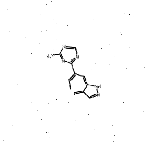 C=c1cn[nH]/c1=C/C(=C\C)c1ncnc(N)n1